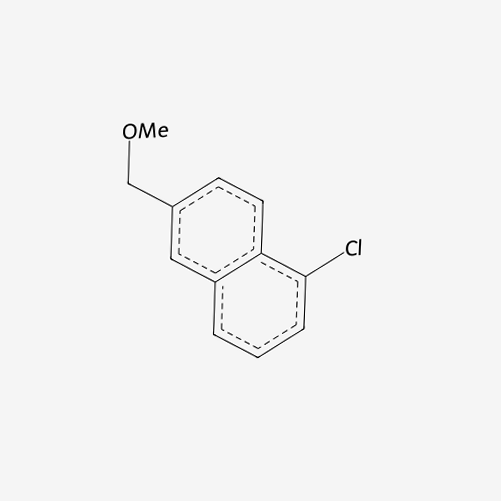 COCc1ccc2c(Cl)cccc2c1